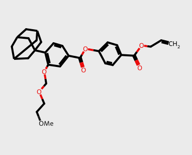 C=CCOC(=O)c1ccc(OC(=O)c2ccc(C34CC5CC(CC(C5)C3)C4)c(OCOCCOC)c2)cc1